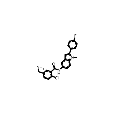 Cn1c(-c2ccc(F)cc2)cc2cc(NC(=O)c3cc(CN)ccc3Cl)ccc21